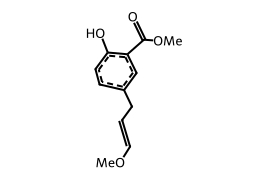 COC=CCc1ccc(O)c(C(=O)OC)c1